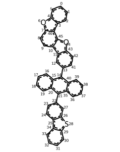 c1ccc2c(c1)oc1ccc3c4cc(-c5c6ccccc6c(-c6ccc7c(c6)sc6ccccc67)c6ccccc56)ccc4oc3c12